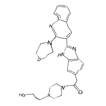 O=C(c1ccc2nc(-c3cc4ccccc4nc3N3CCOCC3)[nH]c2c1)N1CCN(CCO)CC1